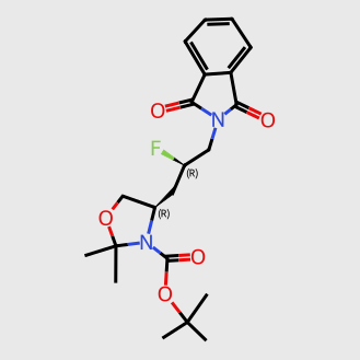 CC(C)(C)OC(=O)N1[C@H](C[C@@H](F)CN2C(=O)c3ccccc3C2=O)COC1(C)C